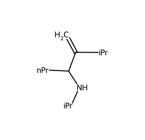 C=C(C(C)C)C(CCC)NC(C)C